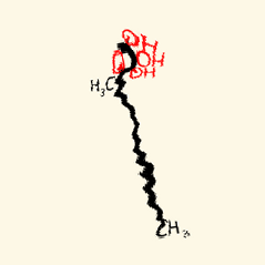 CCCCCCCCCCCCCCCCCCCCCC(C)C1OC[C@@H](O)[C@H](O)[C@H]1O